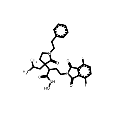 CC(C)CC1(C(CCN2C(=O)c3c(F)ccc(F)c3C2=O)C(=O)NO)CCN(CCc2ccccc2)C1=O